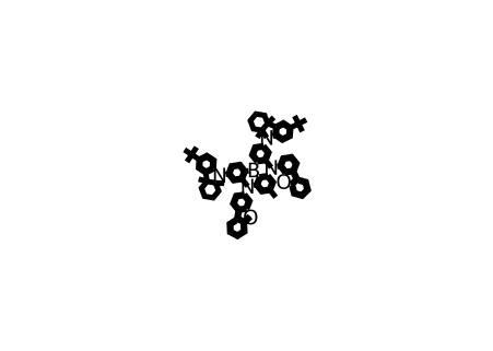 Cc1cc2c3c(c1)N(c1cccc4c1oc1ccccc14)c1cc(N4c5ccc(C(C)(C)C)cc5C5(C)CCCCC45C)ccc1B3c1ccc(N3c4ccc(C(C)(C)C)cc4C4(C)CCCCC34C)cc1N2c1ccc2c(c1)oc1ccccc12